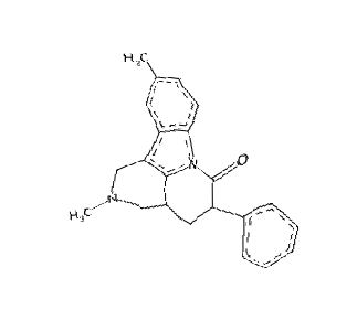 Cc1ccc2c(c1)c1c3n2C(=O)C(c2ccccc2)CC3CN(C)C1